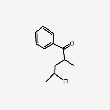 CC(Cl)CC(C)C(=O)c1ccccc1